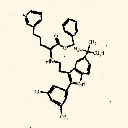 Cc1cc(C)cc(-c2[nH]c3ccc(C(C)(C)C(=O)O)cc3c2CCNC(CCCc2cccnc2)C(=O)OCc2ccccc2)c1